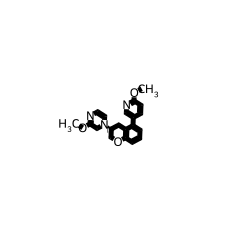 COC1=NC=CN([C@@H]2COc3cccc(-c4ccc(OC)nc4)c3C2)C1